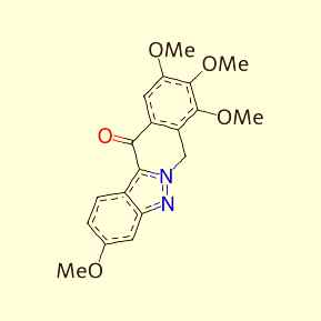 COc1ccc2c3n(nc2c1)Cc1c(cc(OC)c(OC)c1OC)C3=O